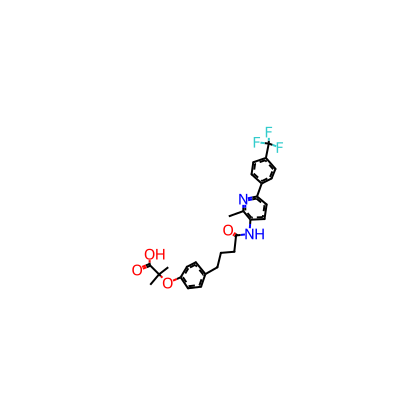 Cc1nc(-c2ccc(C(F)(F)F)cc2)ccc1NC(=O)CCCc1ccc(OC(C)(C)C(=O)O)cc1